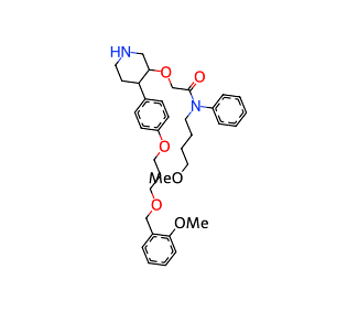 COCCCCN(C(=O)COC1CNCCC1c1ccc(OCCCOCc2ccccc2OC)cc1)c1ccccc1